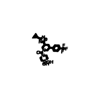 O=C(N1CCS(O)(O)CC1)N1CC(c2ccc(C(F)(F)F)cc2)CC(c2nc(C3CC3)no2)C1